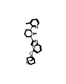 Cc1cccnc1[C@@H]1CCC[C@H](c2cn3c(OC4CN5CCC4CC5)cccc3n2)N1C